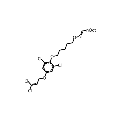 CCCCCCCC/C=N/OCCCCCOc1c(Cl)cc(OCC=C(Cl)Cl)cc1Cl